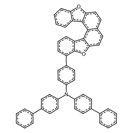 c1ccc(-c2ccc(N(c3ccc(-c4ccccc4)cc3)c3ccc(-c4cccc5c4oc4ccc6ccc7oc8ccccc8c7c6c45)cc3)cc2)cc1